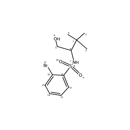 CC(C)(C)C(CO)NS(=O)(=O)c1ccccc1Br